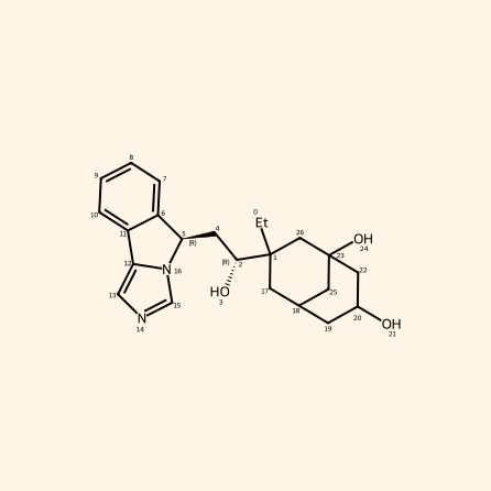 CCC1([C@H](O)C[C@@H]2c3ccccc3-c3cncn32)CC2CC(O)CC(O)(C2)C1